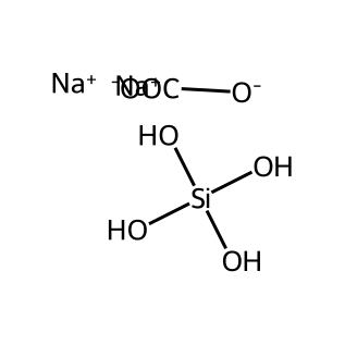 O=C([O-])[O-].O[Si](O)(O)O.[Na+].[Na+]